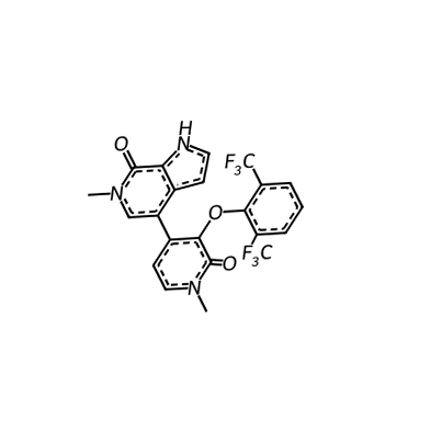 Cn1ccc(-c2cn(C)c(=O)c3[nH]ccc23)c(Oc2c(C(F)(F)F)cccc2C(F)(F)F)c1=O